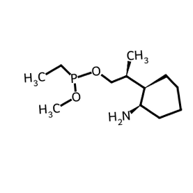 CCP(OC)OC[C@@H](C)[C@H]1CCCC[C@H]1N